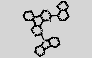 c1ccc2c(-c3ncc4c5ccccc5c5cnc(-n6c7ccccc7c7ccccc76)nc5c4n3)cccc2c1